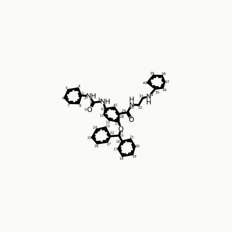 O=C(Nc1ccccc1)Nc1ccc(OC(c2ccccc2)c2ccccc2)c(C(=O)NCCNc2ccccc2)c1